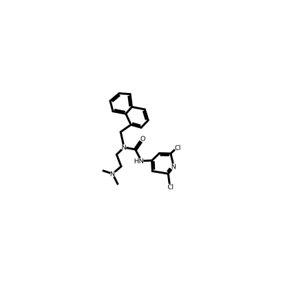 CN(C)CCN(Cc1cccc2ccccc12)C(=O)Nc1cc(Cl)nc(Cl)c1